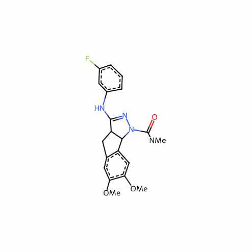 CNC(=O)N1N=C(Nc2cccc(F)c2)C2Cc3cc(OC)c(OC)cc3C21